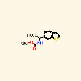 CC(C)(C)OC(=O)NC(C(=O)O)c1ccc2ccsc2c1